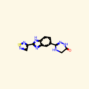 O=C1CNC(c2ccc3[nH]c(-c4cnsn4)nc3c2)=NN1